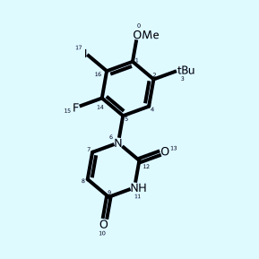 COc1c(C(C)(C)C)cc(-n2ccc(=O)[nH]c2=O)c(F)c1I